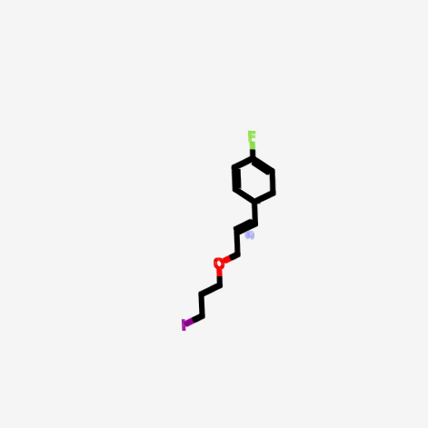 FC1=CC[C](/C=C/COCCCI)C=C1